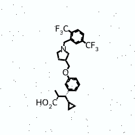 C[C@H](C(=O)O)[C@H](c1cccc(OCC2CCN(Cc3cc(C(F)(F)F)ccc3C(F)(F)F)C2)c1)C1CC1